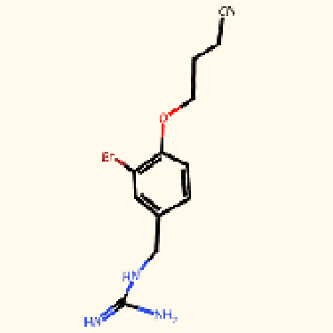 N#CCCCOc1ccc(CNC(=N)N)cc1Br